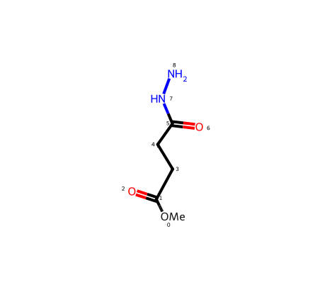 COC(=O)C[CH]C(=O)NN